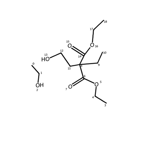 CCO.CCOC(=O)C(CC)(CCO)C(=O)OCC